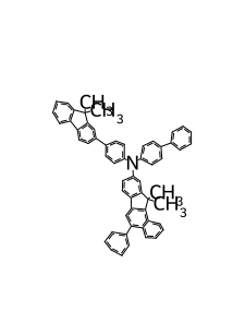 CC1(C)c2ccccc2-c2ccc(-c3ccc(N(c4ccc(-c5ccccc5)cc4)c4ccc5c(c4)C(C)(C)c4c-5cc(-c5ccccc5)c5ccccc45)cc3)cc21